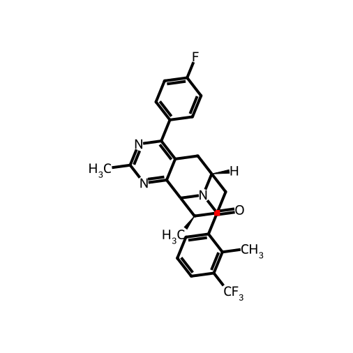 Cc1nc(-c2ccc(F)cc2)c2c(n1)C1[C@H](C)CC[C@@H](C2)N1C(=O)c1cccc(C(F)(F)F)c1C